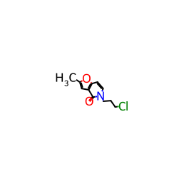 Cc1cc2c(=O)n(CCCCl)ccc2o1